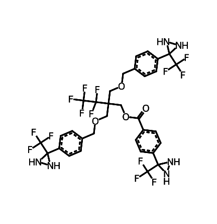 O=C(OCC(COCc1ccc(C2(C(F)(F)F)NN2)cc1)(COCc1ccc(C2(C(F)(F)F)NN2)cc1)C(F)(F)C(F)(F)F)c1ccc(C2(C(F)(F)F)NN2)cc1